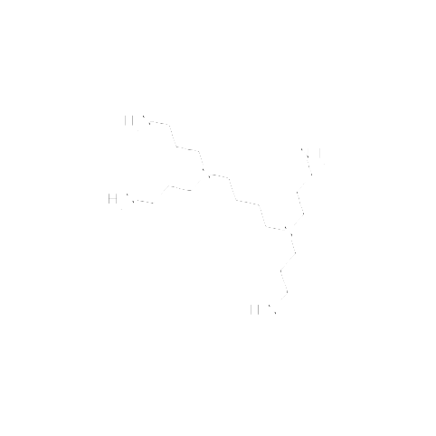 NCCCN(CCCN)CCCCN(CCCN)CCCN